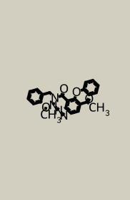 COc1ccccc1CN(N=[N+]=[N-])C(=O)c1cccc(C(C)=O)c1Oc1ccccc1